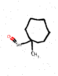 C[C]1([Sn]=[O])CCCCC1